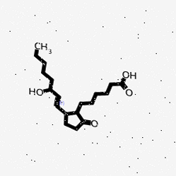 CCCCCC(O)/C=C/C1CCC(=O)C1CCCCCC(=O)O